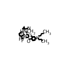 C=C(NC1(C#N)CC1)[C@H]1C[C@@H](C(=O)c2ccc(N(CCC)CCCCC)cc2Cl)CN1c1ncccc1C(F)(F)F